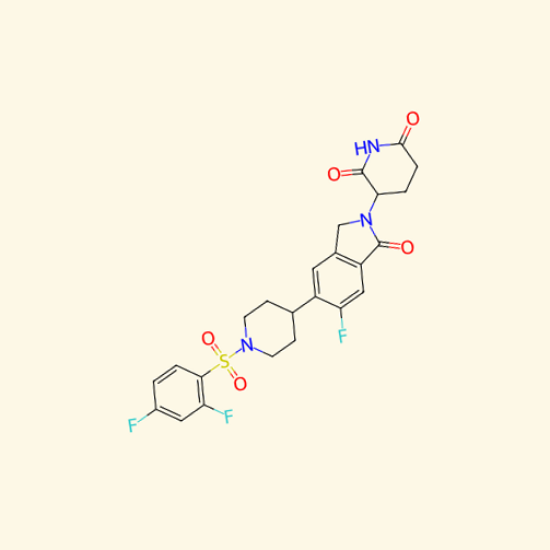 O=C1CCC(N2Cc3cc(C4CCN(S(=O)(=O)c5ccc(F)cc5F)CC4)c(F)cc3C2=O)C(=O)N1